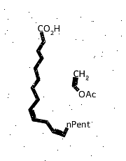 C=COC(C)=O.CCCCC/C=C\C/C=C\CCCCCCCC(=O)O